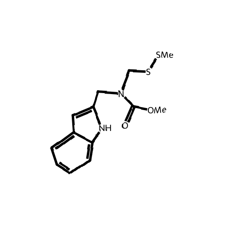 COC(=O)N(CSSC)Cc1cc2ccccc2[nH]1